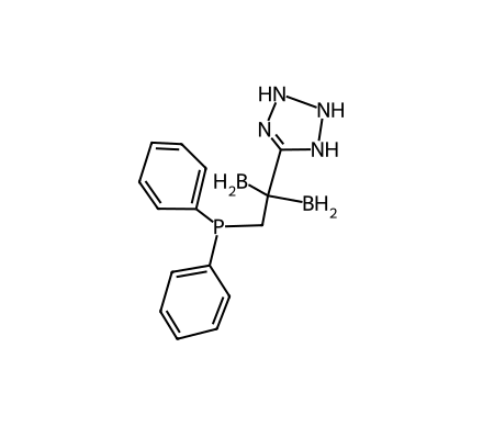 BC(B)(CP(c1ccccc1)c1ccccc1)C1=NNNN1